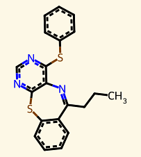 CCCC1=Nc2c(Sc3ccccc3)ncnc2Sc2ccccc21